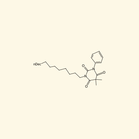 CCCCCCCCCCCCCCCCCCN1C(=O)N(c2ccccc2)C(=O)C(C)(C)C1=O